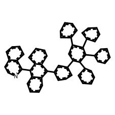 c1ccc(-c2cc(-c3cccc(-c4c5ccccc5c(-c5nccc6ccccc56)c5ccccc45)c3)c(-c3ccccc3)c(-c3ccccc3)c2-c2ccccc2)cc1